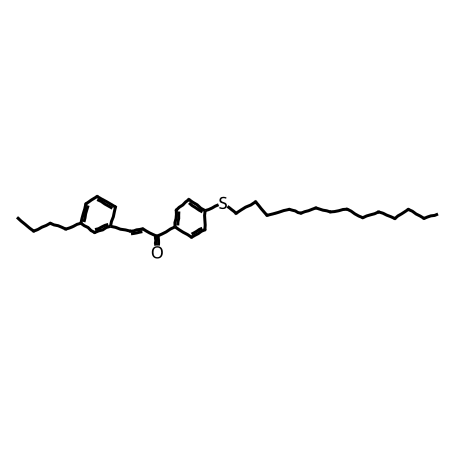 CCCCCCCCCCCCCCSc1ccc(C(=O)C=Cc2cccc(CCCC)c2)cc1